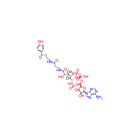 CC(C)(COP(=O)(O)OP(=O)(O)OC[C@H]1O[C@@H](n2cnc3c(N)ncnc32)[C@H](O)[C@@H]1OP(=O)(O)O)C(O)C(=O)NCCC(=O)NCCSC(=O)c1ccc(O)cc1